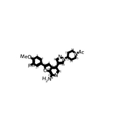 COc1ccc(-c2cc3c(-c4cnn(C5CCN(C(C)=O)CC5)c4)cnc(N)c3o2)cc1F